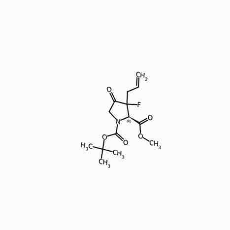 C=CCC1(F)C(=O)CN(C(=O)OC(C)(C)C)[C@@H]1C(=O)OC